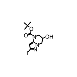 CC(C)(C)OC(=O)N1CC(O)Cn2nc(I)cc21